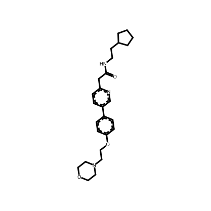 O=C(Cc1ccc(-c2ccc(OCCN3CCOCC3)cc2)cn1)NCCC1CCCC1